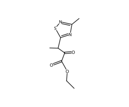 CCOC(=O)C(=O)C(C)c1nc(C)ns1